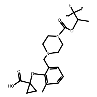 Cc1cccc(CN2CCN(C(=O)OC(C)C(F)(F)F)CC2)c1OC1(C(=O)O)CC1